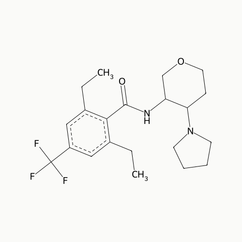 CCc1cc(C(F)(F)F)cc(CC)c1C(=O)NC1COCCC1N1CCCC1